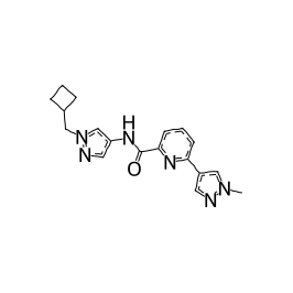 Cn1cc(-c2cccc(C(=O)Nc3cnn(CC4CCC4)c3)n2)cn1